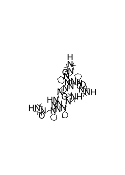 CC1(C)CN(CCN(c2nc(NCCN3CCN(c4nc(C(CN5CC(C)(C)NC(C)(C)C5=O)=NC5CCCCC5)nc(C(CN5CC(C)(C)NC(C)(C)C5=O)=NC5CCCCC5)n4)CC3)nc(N(CCN3CC(C)(C)NC(C)(C)C3=O)C3CCCCC3)n2)C2CCCCC2)C(=O)C(C)(C)N1